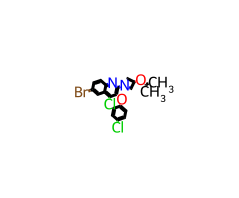 CC(C)OC1CN(c2nc3ccc(Br)cc3c(Cl)c2Oc2ccc(Cl)cc2)C1